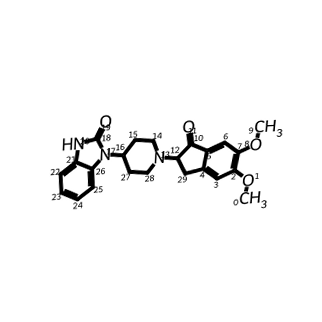 COc1cc2c(cc1OC)C(=O)C(N1CCC(n3c(=O)[nH]c4ccccc43)CC1)C2